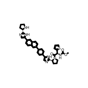 COC(=O)N[C@@H](C(=O)N1CCC[C@H]1c1ncc(-c2ccc(-c3ccc4cc(-c5cnc([C@@H]6CCCN6)[nH]5)ccc4c3)cc2)[nH]1)c1cccs1